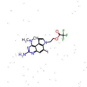 CN(C)c1nc(N)nc2cc(I)c3c(ccn3CCOC(=O)C(F)(F)F)c12